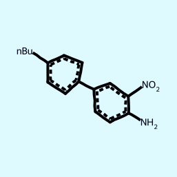 CCCCc1ccc(-c2ccc(N)c([N+](=O)[O-])c2)cc1